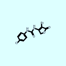 CCC1=C(NC(=O)Nc2ccc(Cl)cc2)COC1=O